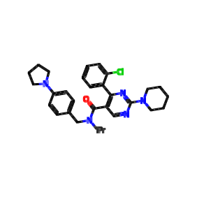 CC(C)N(Cc1ccc(N2CCCC2)cc1)C(=O)c1cnc(N2CCCCC2)nc1-c1ccccc1Cl